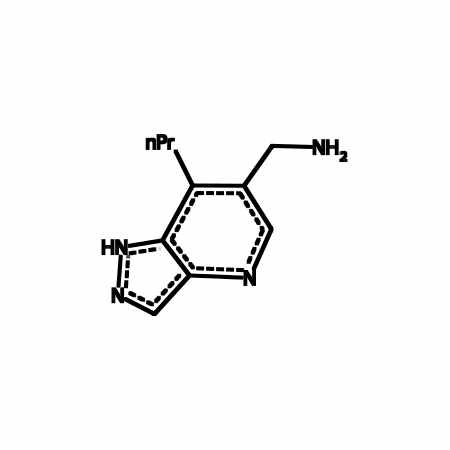 CCCc1c(CN)cnc2cn[nH]c12